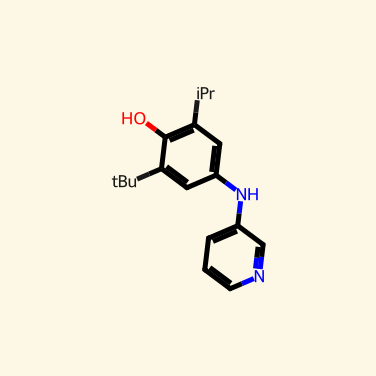 CC(C)c1cc(Nc2cccnc2)cc(C(C)(C)C)c1O